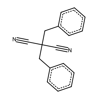 N#CC(C#N)(Cc1ccccc1)Cc1ccccc1